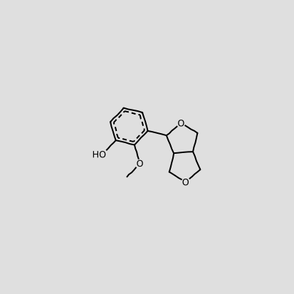 COc1c(O)cccc1C1OCC2COCC21